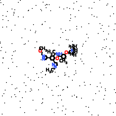 [2H]C([2H])([2H])N(CCOc1ccc(C)c(C(=O)N[C@H](C)c2cc(-c3cnn(CCOC)c3)cc(-c3ccn(CC)n3)c2)c1)C([2H])([2H])[2H]